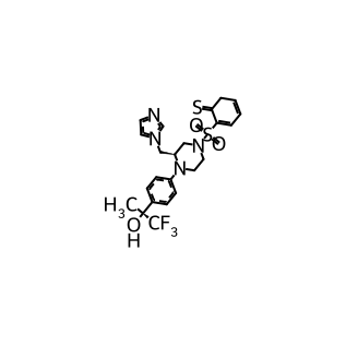 C[C@@](O)(c1ccc(N2CCN(S(=O)(=O)C3=CC=CCC3=S)C[C@@H]2Cn2ccnc2)cc1)C(F)(F)F